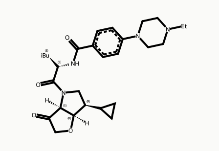 CC[C@H](C)[C@H](NC(=O)c1ccc(N2CCN(CC)CC2)cc1)C(=O)N1C[C@@H](C2CC2)[C@H]2OCC(=O)[C@H]21